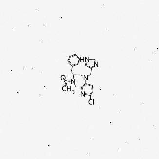 C[S+]([O-])N1Cc2nc(Cl)ccc2N(Cc2c[nH]cn2)C[C@H]1Cc1ccccc1